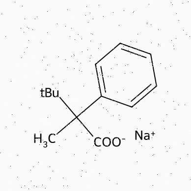 CC(C)(C)C(C)(C(=O)[O-])c1ccccc1.[Na+]